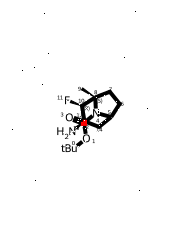 CC(C)(C)OC(=O)N1C2CC[C@@]1(C)[C@H](F)[C@H](N)C2